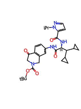 CC(C)n1nccc1C(=O)N[C@H](C(=O)Nc1ccc2c(c1)CN(C(=O)OC(C)(C)C)CC2=O)C(C1CC1)C1CC1